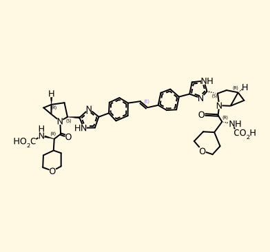 O=C(O)N[C@@H](C(=O)N1C2C[C@@H]2C[C@H]1c1nc(-c2ccc(/C=C/c3ccc(-c4c[nH]c([C@@H]5C[C@H]6CC6N5C(=O)[C@H](NC(=O)O)C5CCOCC5)n4)cc3)cc2)c[nH]1)C1CCOCC1